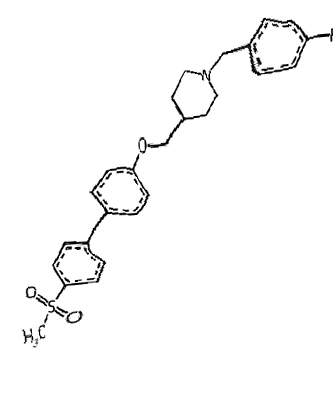 CS(=O)(=O)c1ccc(-c2ccc(OCC3CCN(Cc4ccc(F)cc4)CC3)cc2)cc1